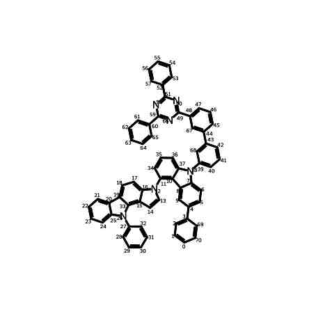 c1ccc(-c2ccc3c(c2)c2c(-n4ccc5c4ccc4c6ccccc6n(-c6ccccc6)c45)cccc2n3-c2cccc(-c3cccc(-c4nc(-c5ccccc5)nc(-c5ccccc5)n4)c3)c2)cc1